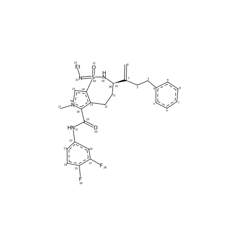 C=C(CCc1ccccc1)[C@H]1CCc2c(cn(C)c2C(=O)Nc2ccc(F)c(F)c2)S(=O)(=NCC)N1